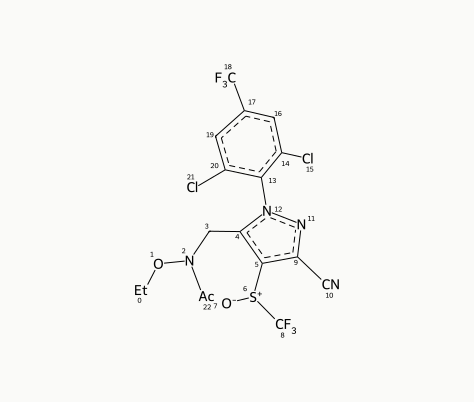 CCON(Cc1c([S+]([O-])C(F)(F)F)c(C#N)nn1-c1c(Cl)cc(C(F)(F)F)cc1Cl)C(C)=O